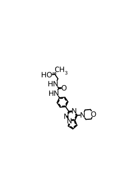 C[C@@H](O)CNC(=O)Nc1ccc(-c2nc(N3CCOCC3)c3cccn3n2)cc1